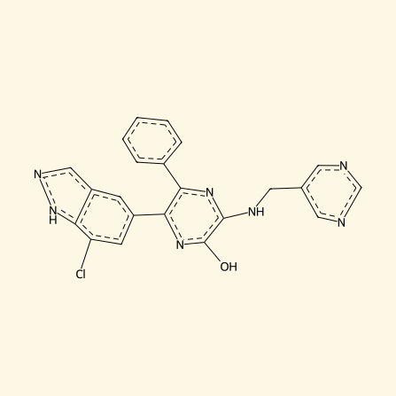 Oc1nc(-c2cc(Cl)c3[nH]ncc3c2)c(-c2ccccc2)nc1NCc1cncnc1